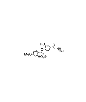 COc1ccc(C(=O)Oc2ccc(C(=O)CNC(C)(C)C)cc2O)cc1.CS(=O)(=O)O